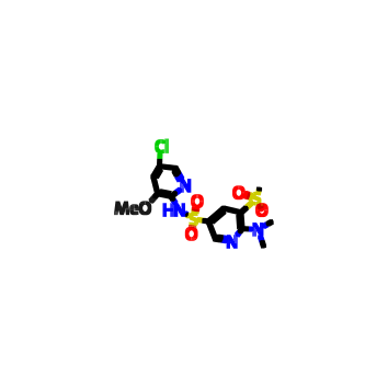 COc1cc(Cl)cnc1NS(=O)(=O)c1cnc(N(C)C)c(S(C)(=O)=O)c1